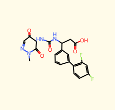 CN1N=CC(=O)C(NC(=O)NC(CC(=O)O)c2cccc(-c3ccc(F)cc3F)c2)C1=O